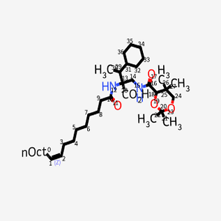 CCCCCCCC/C=C\CCCCCCCC(=O)NC(CNC(=O)C1OC(C)(C)OCC1(C)C)(C(=O)O)C(C)C1CCCCC1